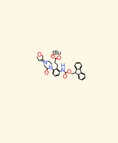 CC(C)(C)OC(=O)CCc1c(NC(=O)OCC2c3ccccc3-c3ccccc32)cccc1N1CCN([C@H]2CCOC2)CC1=O